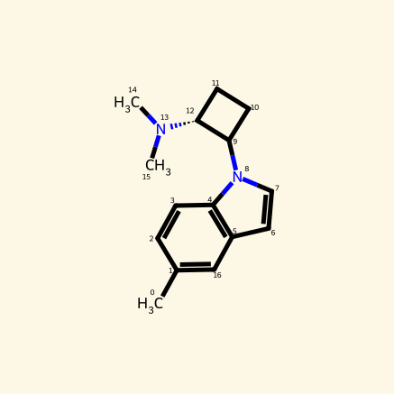 Cc1ccc2c(ccn2C2CC[C@H]2N(C)C)c1